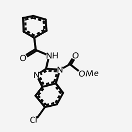 COC(=O)n1c(NC(=O)c2ccccc2)nc2cc(Cl)ccc21